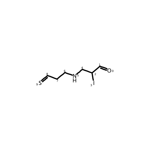 O=CC(I)CNCCC=S